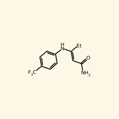 CCC(=CC(N)=O)Nc1ccc(C(F)(F)F)cc1